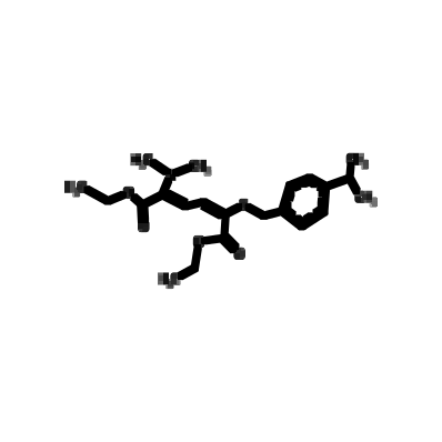 CCOC(=O)C(=CC=C(C(=O)OCC)N(C)C)SCc1ccc(C(C)C)cc1